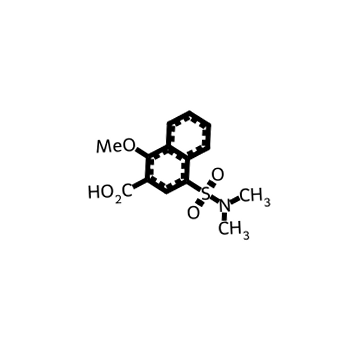 COc1c(C(=O)O)cc(S(=O)(=O)N(C)C)c2ccccc12